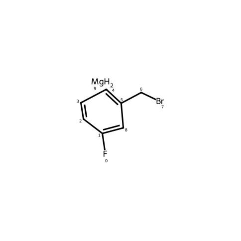 Fc1cccc(CBr)c1.[MgH2]